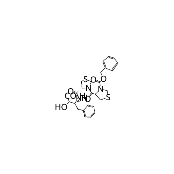 O=C(O)C(O)[C@H](Cc1ccccc1)NC(=O)[C@@H]1CSCN1C(=O)[C@@H]1CSCN1C(=O)OCc1ccccc1